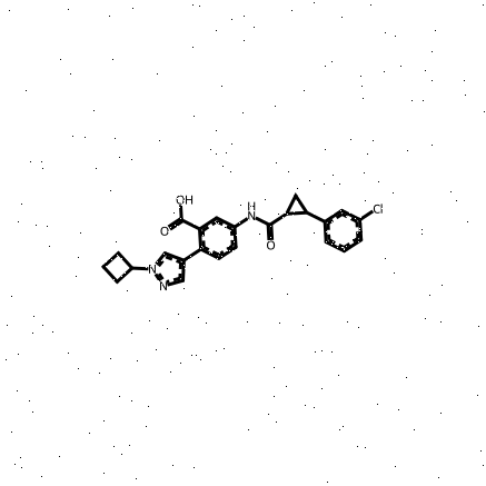 O=C(O)c1cc(NC(=O)C2CC2c2cccc(Cl)c2)ccc1-c1cnn(C2CCC2)c1